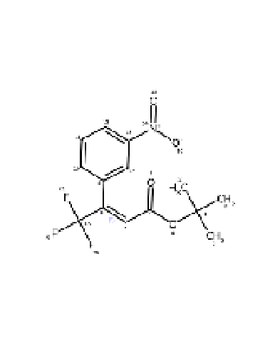 CC(C)(C)OC(=O)/C=C(\c1cccc([N+](=O)[O-])c1)C(F)(F)F